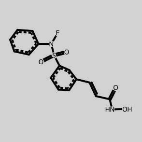 O=C(C=Cc1cccc(S(=O)(=O)N(F)c2ccccc2)c1)NO